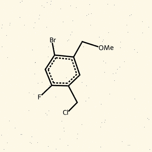 COCc1cc(CCl)c(F)cc1Br